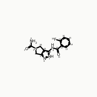 NC(=O)N1Cc2n[nH]c(NC(=O)c3ccccc3F)c2C1